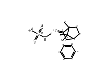 CC12CCC(CC1=O)C2(C)C.COS(=O)(=O)O.c1ccccc1